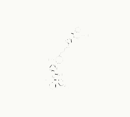 CC(C)C(C(=O)N1CCC[C@H]1C(=O)O)c1cc(OCCCN2CCCN(c3ccnc(C(=N)NC(=O)[C@@]4(C)CCCc5sc(N)c(C#N)c54)n3)[C@@H](C)C2)no1